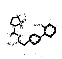 COc1ccccc1-c1ccc(C[C@@H](NC(=O)[C@H]2CC[C@H](C)S2(=O)=O)C(=O)O)cc1